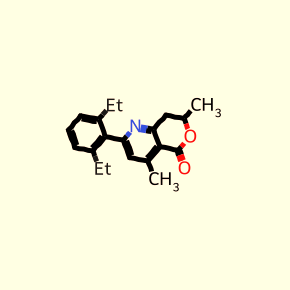 CCc1cccc(CC)c1-c1cc(C)c2c(n1)CC(C)OC2=O